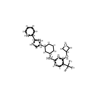 FC(F)(F)c1cnc(N[C@@H]2CCC[C@H](n3cnc(-c4ccccn4)n3)C2)nc1OC1COC1